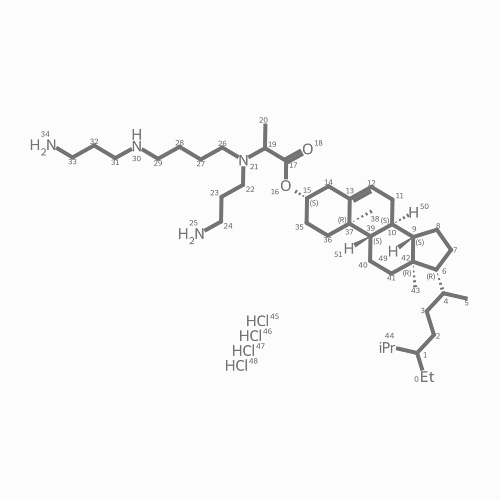 CCC(CCC(C)[C@H]1CC[C@H]2[C@@H]3CC=C4C[C@@H](OC(=O)C(C)N(CCCN)CCCCNCCCN)CC[C@]4(C)[C@H]3CC[C@]12C)C(C)C.Cl.Cl.Cl.Cl